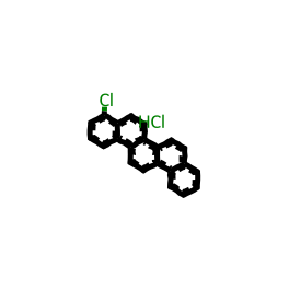 Cl.Clc1cccc2c1ccc1c2ccc2c3ccccc3ccc21